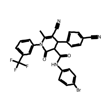 CC1=C(C#N)C(c2ccc(C#N)cc2)C(C(=O)Nc2ccc(Br)cc2)C(=O)N1c1cccc(C(F)(F)F)c1